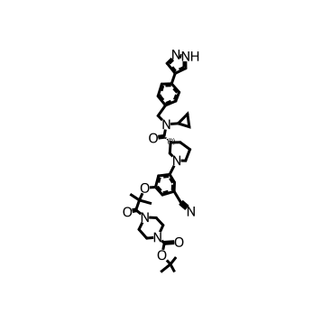 CC(C)(C)OC(=O)N1CCN(C(=O)C(C)(C)Oc2cc(C#N)cc(N3CCC[C@@H](C(=O)N(Cc4ccc(-c5cn[nH]c5)cc4)C4CC4)C3)c2)CC1